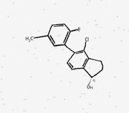 Cc1ccc(F)c(-c2ccc3c(c2Cl)CC[C@@H]3O)c1